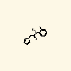 CCN(C(=O)Cn1cccc1)c1ccccc1C